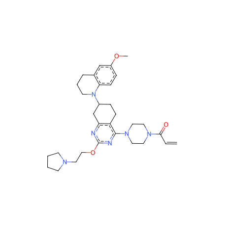 C=CC(=O)N1CCN(c2nc(OCCN3CCCC3)nc3c2CCC(N2CCCc4cc(OC)ccc42)C3)CC1